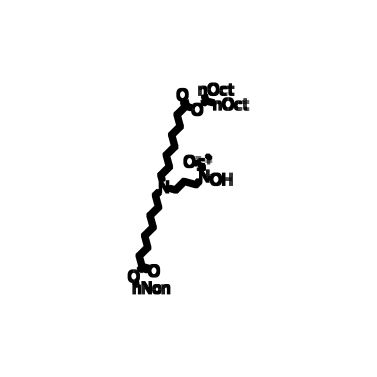 CCCCCCCCCOC(=O)CCCCCCCN(CCCCCCCC(=O)OC(CCCCCCCC)CCCCCCCC)CCCN(O)[S+](C)[O-]